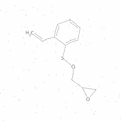 C=Cc1ccccc1SOCC1CO1